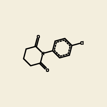 O=C1CCCC(=O)N1c1ccc(Cl)cc1